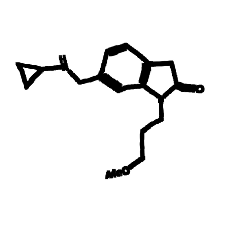 COCCCN1C(=O)Cc2ccc(CNC3CC3)cc21